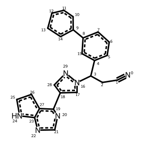 N#CCC(c1cccc(-c2ccccc2)c1)n1cc(-c2ncnc3[nH]ccc23)cn1